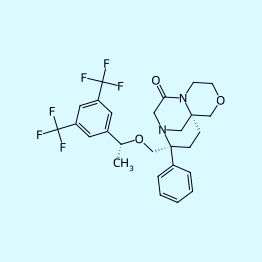 C[C@@H](OC[C@@]1(c2ccccc2)CC[C@@]23COCCN2C(=O)CN1C3)c1cc(C(F)(F)F)cc(C(F)(F)F)c1